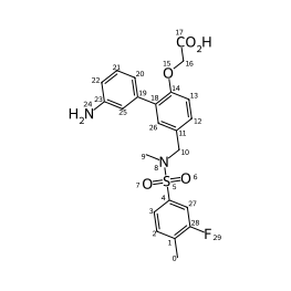 Cc1ccc(S(=O)(=O)N(C)Cc2ccc(OCC(=O)O)c(-c3cccc(N)c3)c2)cc1F